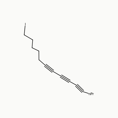 CCCC#CC#CC#CCCCCCI